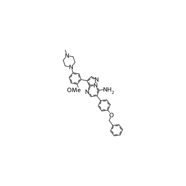 COc1ccc(N2CCN(C)CC2)cc1-c1cnn2c(N)c(-c3ccc(OCc4ccccc4)cc3)cnc12